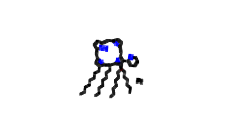 CCCCCCCCC1=Cc2cc3ccc(cc4nc(cc5c(-c6ccccn6)c(CCCCCCCC)c(c(CCCCCCCC)c1n2)n5CCCCCCCC)C=C4)[nH]3.[Pt]